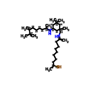 C=C(CCCCCCCC(C)S)NCC1(C)CC(NC(=C)CCCCC(=C)C(=C)C)CC(C)(C)C1